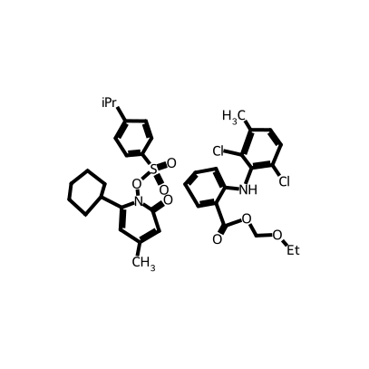 CCOCOC(=O)c1ccccc1Nc1c(Cl)ccc(C)c1Cl.Cc1cc(C2CCCCC2)n(OS(=O)(=O)c2ccc(C(C)C)cc2)c(=O)c1